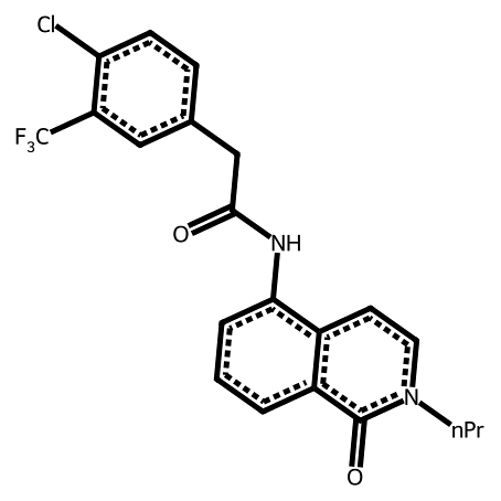 CCCn1ccc2c(NC(=O)Cc3ccc(Cl)c(C(F)(F)F)c3)cccc2c1=O